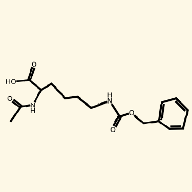 CC(=O)NC(CCCCNC(=O)OCc1ccccc1)C(=O)O